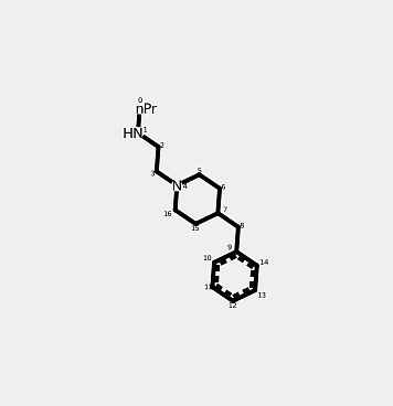 CCCNCCN1CCC(Cc2ccccc2)CC1